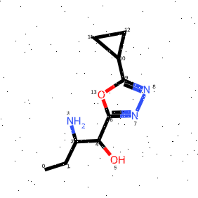 CCC(N)C(O)c1nnc(C2CC2)o1